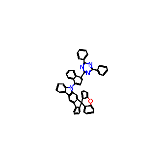 c1ccc(-c2nc(-c3ccccc3)nc(-c3ccc(-n4c5ccccc5c5cc6c(cc54)C4(c5ccccc5Oc5ccccc54)c4ccccc4-6)c4ccccc34)n2)cc1